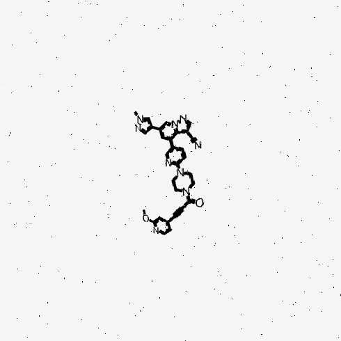 COc1cc(C#CC(=O)N2CCN(c3ccc(-c4cc(-c5cnn(C)c5)cn5ncc(C#N)c45)cn3)CC2)ccn1